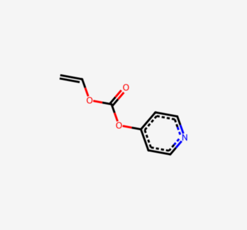 C=COC(=O)Oc1ccncc1